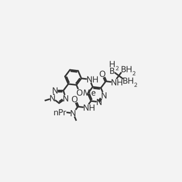 BC(B)(B)NC(=O)c1nnc(NC(=O)N(C)CCC)cc1Nc1cccc(-c2ncn(C)n2)c1OC